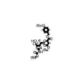 COc1ccc(COC(=O)C(CC(=O)OC(C)(C)C)O/N=C(\C(=O)O)c2nc(NC(=O)OC(C)(C)C)sc2Cl)cc1